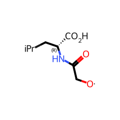 CC(C)C[C@@H](NC(=O)C[O])C(=O)O